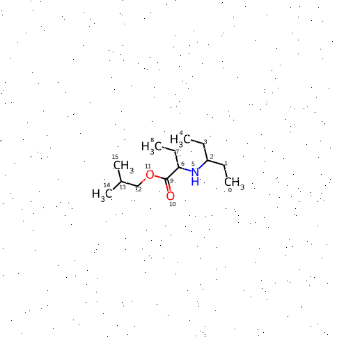 CCC(CC)NC(CC)C(=O)OCC(C)C